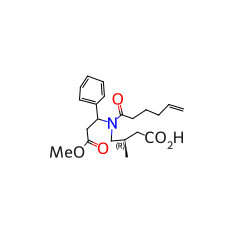 C=CCCCC(=O)N(C[C@H](C)CC(=O)O)C(CC(=O)OC)c1ccccc1